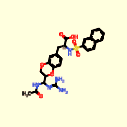 CC(=O)NC(N=C(N)N)C1COc2cc(C[C@H](NS(=O)(=O)c3ccc4ccccc4c3)C(=O)O)ccc2O1